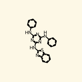 c1ccc(Nc2nc(Nc3ccccc3)nc(Nc3nc4ccccc4s3)n2)cc1